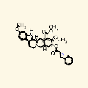 COC(=O)[C@H]1[C@H]2C[C@@H]3c4[nH]c5cc(OC)ccc5c4CCN3C[C@H]2C[C@@H](OC(=O)/C=C/c2ccccc2)[C@@H]1OC